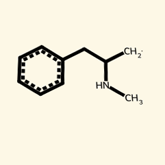 [CH2]C(Cc1ccccc1)NC